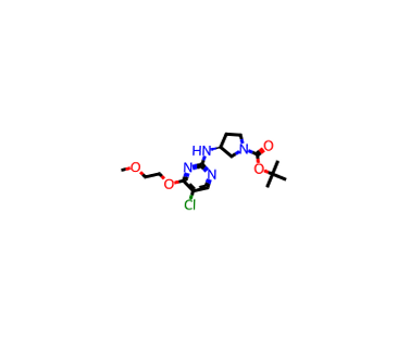 COCCOc1nc(N[C@H]2CCN(C(=O)OC(C)(C)C)C2)ncc1Cl